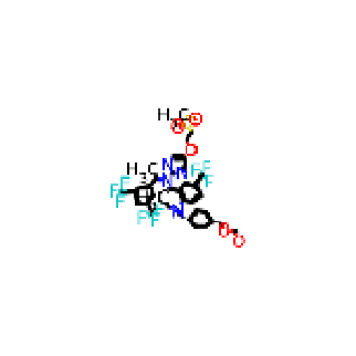 CCN(C[C@H]1CC[C@H](COC=O)CC1)c1ccc(C(F)(F)F)cc1CN(c1ncc(OCCS(C)(=O)=O)cn1)C(C)c1cc(C(F)(F)F)cc(C(F)(F)F)c1